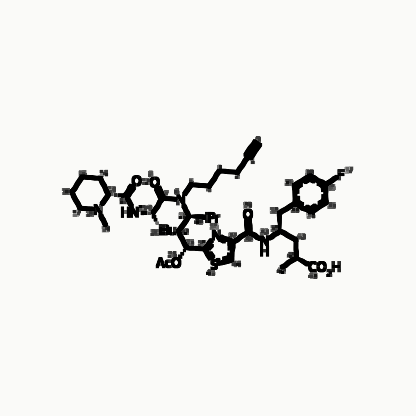 C#CCCCCN(C(=O)[C@@H](NC(=O)[C@H]1CCCCN1C)[C@@H](C)CC)[C@H](C[C@@H](OC(C)=O)c1nc(C(=O)N[C@@H](Cc2ccc(F)cc2)C[C@H](C)C(=O)O)cs1)C(C)C